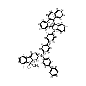 CC1(C)c2ccccc2C2=CC=C(N(c3ccc(-c4ccccc4)cc3)c3ccc(-c4ccc(-n5c6ccccc6c6c7c8c(ccc7c7ccccc7c65)=CCCC=8)cc4)cc3)CC21